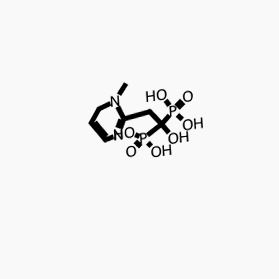 CN1CC=CN=C1CC(O)(P(=O)(O)O)P(=O)(O)O